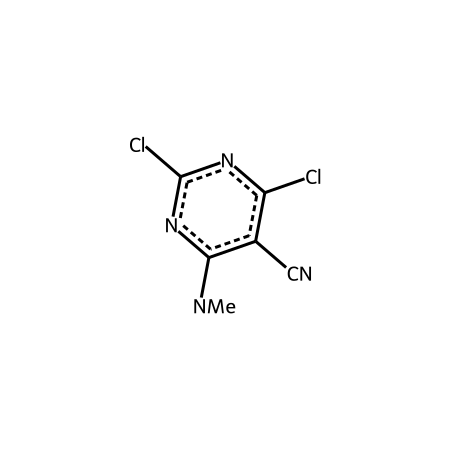 CNc1nc(Cl)nc(Cl)c1C#N